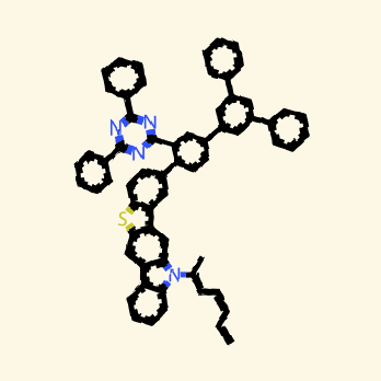 C=C/C=C\C=C(/C)n1c2ccccc2c2cc3sc4ccc(-c5ccc(-c6cc(-c7ccccc7)cc(-c7ccccc7)c6)cc5-c5nc(-c6ccccc6)nc(-c6ccccc6)n5)cc4c3cc21